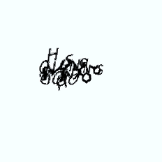 CS(=O)(=O)NCc1csc2c1S(=O)(=O)N=C(C1=C(O)C3CCCCC3N(CC3=CSCC3)C1=O)N2